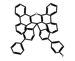 Fc1ccc(-c2ccc(C3(c4ccc(-c5ccccc5)cc4)c4c(c5ccccc5c5ccccc45)Oc4c3c3ccccc3c3ccccc43)cc2)cc1